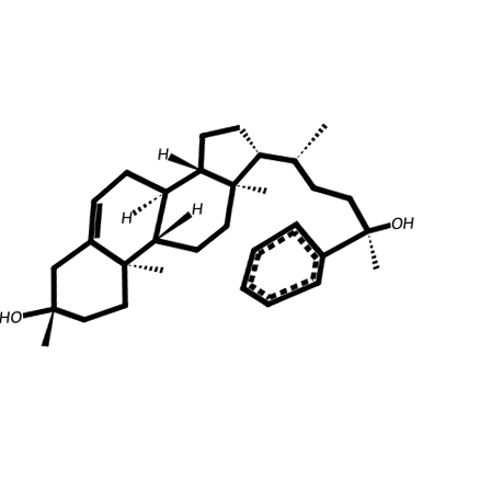 C[C@H](CC[C@@](C)(O)c1ccccc1)[C@H]1CC[C@H]2[C@@H]3CC=C4C[C@@](C)(O)CC[C@]4(C)[C@H]3CC[C@]12C